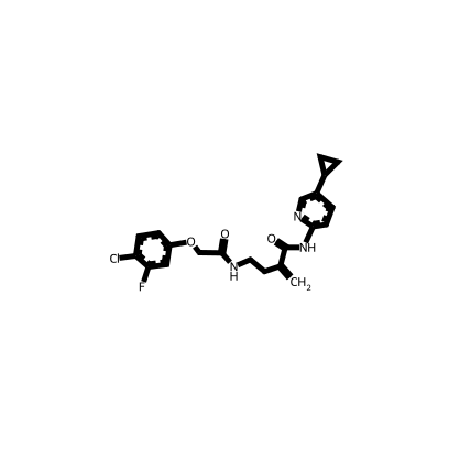 C=C(CCNC(=O)COc1ccc(Cl)c(F)c1)C(=O)Nc1ccc(C2CC2)cn1